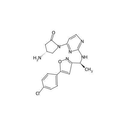 C[C@H](Nc1nccc(N2C[C@H](N)CC2=O)n1)c1cc(-c2ccc(Cl)cc2)on1